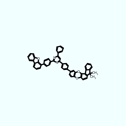 CC1(C)c2ccccc2-c2c1ccc1c2Oc2cc(-c3ccc(-c4cc(-c5ccccc5)nc(-c5ccc(-c6cccc7c6oc6ccccc67)cc5)n4)cc3)ccc2O1